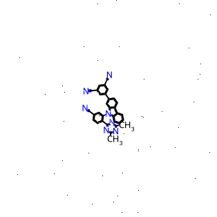 Cc1nc(C)nc(-c2ccc(C#N)cc2-n2c3ccccc3c3ccc(-c4cc(C#N)cc(C#N)c4)cc32)n1